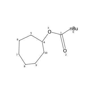 CCCCC(=O)OC1CCCCCC1